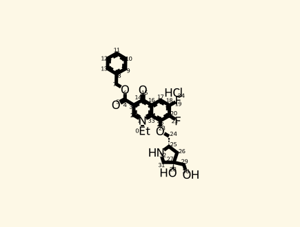 CCn1cc(C(=O)OCc2ccccc2)c(=O)c2cc(F)c(F)c(OC[C@@H]3C[C@@](O)(CO)CN3)c21.Cl